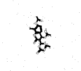 CC(=O)Oc1ccc2c(OC(C)=O)c(C(OC(C)=O)OC(C)=O)c(=O)oc2c1C